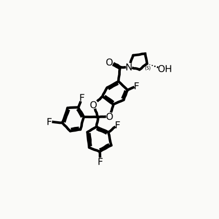 O=C(c1cc2c(cc1F)OC(c1ccc(F)cc1F)(c1ccc(F)cc1F)O2)N1CC[C@H](O)C1